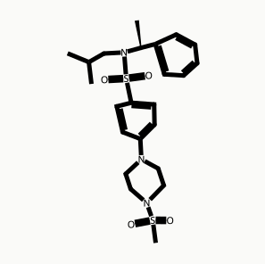 CC(C)CN([C@@H](C)c1ccccc1)S(=O)(=O)c1ccc(N2CCN(S(C)(=O)=O)CC2)cc1